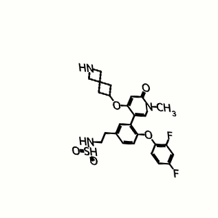 Cn1cc(-c2cc(CCN[SH](=O)=O)ccc2Oc2ccc(F)cc2F)c(OC2CC3(CNC3)C2)cc1=O